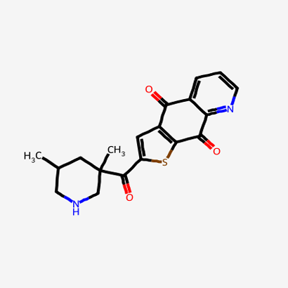 CC1CNCC(C)(C(=O)c2cc3c(s2)C(=O)c2ncccc2C3=O)C1